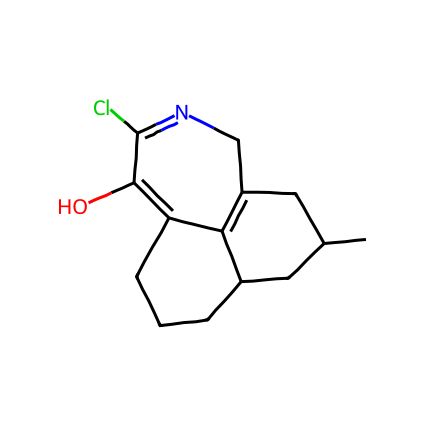 CC1CC2=C3C(=C(O)C(Cl)=NC2)CCCC3C1